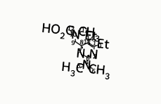 CCc1nc(N(C)C)nc(CN(C)C(=O)O)c1CC